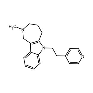 CN1CCCc2c(c3ccccc3n2CCc2ccncc2)C1